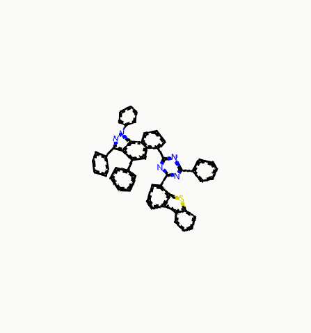 c1ccc(-c2nc(-c3cccc4c3cc(-c3ccccc3)c3c(-c5ccccc5)nn(-c5ccccc5)c34)nc(-c3cccc4c3sc3ccccc34)n2)cc1